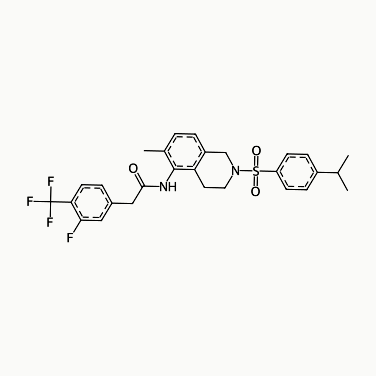 Cc1ccc2c(c1NC(=O)Cc1ccc(C(F)(F)F)c(F)c1)CCN(S(=O)(=O)c1ccc(C(C)C)cc1)C2